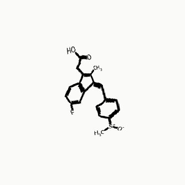 CC1=C(CC(=O)O)c2ccc(F)cc2/C1=C\c1ccc([S+](C)[O-])cc1